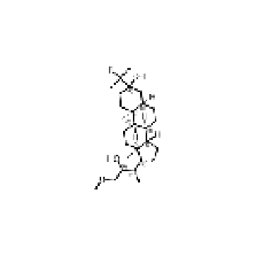 COC[C@@H](O)[C@H](C)[C@H]1CC[C@H]2[C@@H]3CC[C@@H]4C[C@@](O)(C(F)(F)F)CC[C@]4(C)[C@H]3CC[C@]12C